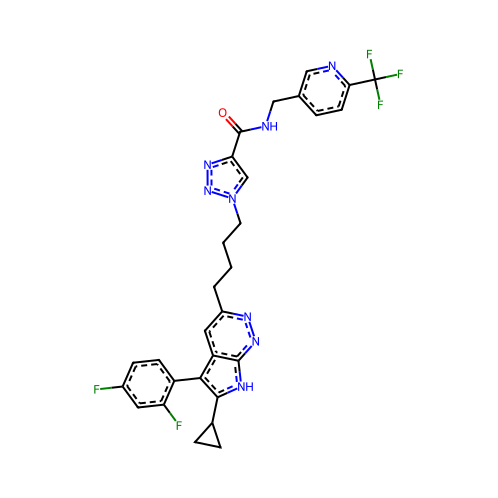 O=C(NCc1ccc(C(F)(F)F)nc1)c1cn(CCCCc2cc3c(-c4ccc(F)cc4F)c(C4CC4)[nH]c3nn2)nn1